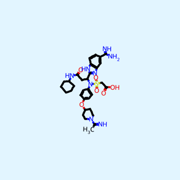 CC(=N)N1CCC(Oc2ccc(N(C(CC(=O)NC3CCCCC3)c3nc4cc(C(=N)N)ccc4[nH]3)S(=O)(=O)CC(=O)O)cc2)CC1